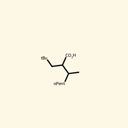 CCCCCC(C)C(CC(C)(C)C)C(=O)O